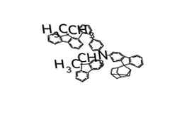 CC1(C)c2ccccc2-c2ccc(N(c3ccc(-c4ccccc4-c4cccc5c4C(C)(C)c4ccccc4-5)cc3)c3ccc4c(c3)C3(c5ccccc5-4)C4CC5CC(C4)CC3C5)cc21